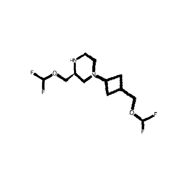 FC(F)OCC1CC(N2CCN[C@H](COC(F)F)C2)C1